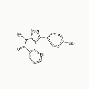 CCN(C(=O)c1cccnc1)c1nnc(-c2ccc(C(C)(C)C)cc2)s1